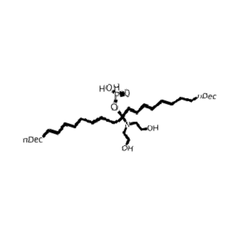 CCCCCCCCCCCCCCCCCCC(CCCCCCCCCCCCCCCCCC)(O[PH](=O)O)N(CCO)CCO